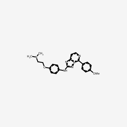 COc1ccc(-c2nccc3nc(Nc4ccc(OCCN(C)C)cc4)nn23)cc1